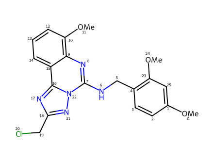 COc1ccc(CNc2nc3c(OC)cccc3c3nc(CCl)nn23)c(OC)c1